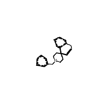 C1=CC2(CCN(Cc3ccccc3)CC2)c2ccccc2C1